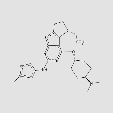 Cn1cc(Nc2nc(O[C@H]3CC[C@H](N(C)C)CC3)c3c4c(sc3n2)CC[C@@H]4CC(=O)O)cn1